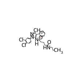 CCCNC(=O)CCCC(=O)Nc1c(-c2ccccc2)c(C)nn1-c1ccc(Cl)c(Cl)c1